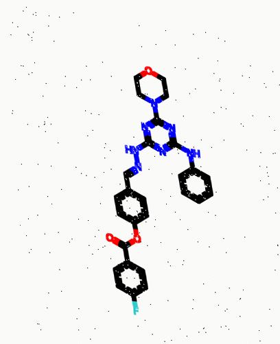 O=C(Oc1ccc(/C=N/Nc2nc(Nc3ccccc3)nc(N3CCOCC3)n2)cc1)c1ccc(F)cc1